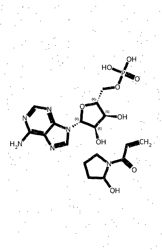 C=CC(=O)N1CCCC1O.Nc1ncnc2c1ncn2[C@@H]1O[C@H](COP(=O)(O)O)[C@@H](O)[C@H]1O